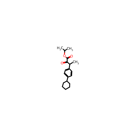 CC(C)OC(=O)C(=O)C(C)c1ccc(C2CCCCC2)cc1